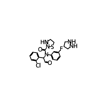 C1CNNC1.O=CC(c1ccccc1Cl)N(C(=O)N1NCCS1)c1cccc(F)c1